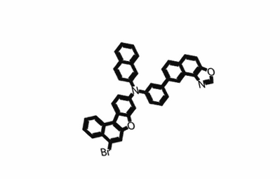 Brc1cc2oc3cc(N(c4cccc(-c5ccc6ccc7ocnc7c6c5)c4)c4ccc5ccccc5c4)ccc3c2c2ccccc12